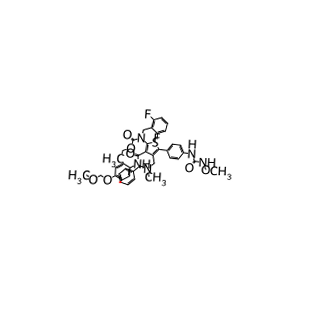 CCOC(=O)N(Cc1c(F)cccc1F)c1sc(-c2ccc(NC(=O)NOC)cc2)c(CN(C)Cc2ccccc2)c1C(=O)Nc1ccc(OCOC)cc1